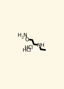 CCNCCON.Cl.Cl